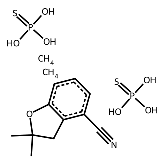 C.C.CC1(C)Cc2c(C#N)cccc2O1.OP(O)(O)=S.OP(O)(O)=S